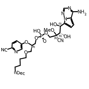 CCCCCCCCCCCCCCOC[C@H](COP(=O)(O)OC[C@@](C#N)(OC)[C@@H](O)[C@@H](O)c1ccc2c(N)ncnn12)Oc1ccc(C#N)nc1